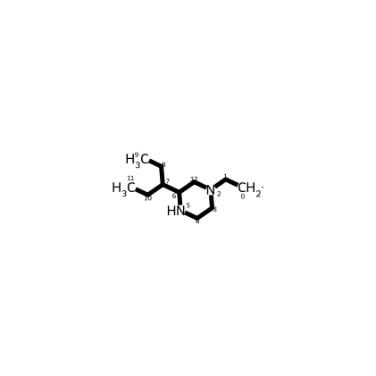 [CH2]CN1CCNC(C(CC)CC)C1